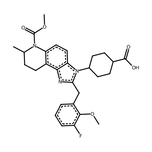 COC(=O)N1c2ccc3c(nc(Cc4cccc(F)c4OC)n3C3CCC(C(=O)O)CC3)c2CCC1C